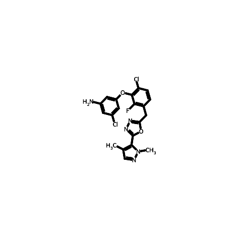 Cc1cnn(C)c1-c1nnc(Cc2ccc(Cl)c(Oc3cc(N)cc(Cl)c3)c2F)o1